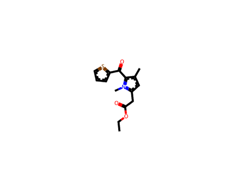 CCOC(=O)Cc1cc(C)c(C(=O)c2cccs2)n1C